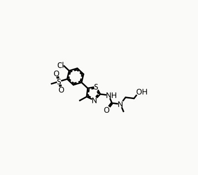 Cc1nc(NC(=O)N(C)CCO)sc1-c1ccc(Cl)c(S(C)(=O)=O)c1